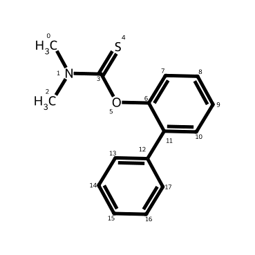 CN(C)C(=S)Oc1ccccc1-c1ccccc1